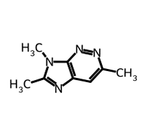 Cc1cc2nc(C)n(C)c2nn1